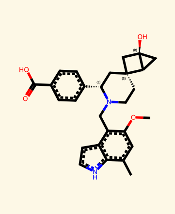 COc1cc(C)c2[nH]ccc2c1CN1CC[C@]2(C[C@H]1c1ccc(C(=O)O)cc1)C[C@]1(O)CC12